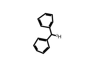 [2H]C(c1ccccc1)c1ccccc1